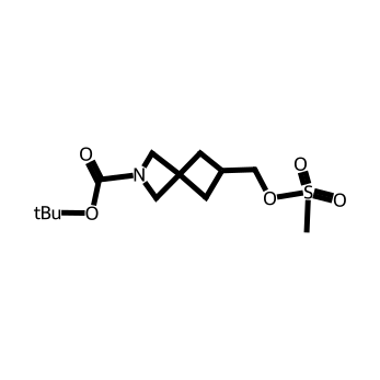 CC(C)(C)OC(=O)N1CC2(CC(COS(C)(=O)=O)C2)C1